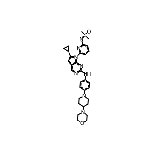 CS(C)(=O)=Nc1cccc(-n2c(C3CC3)cc3cnc(Nc4ccc(N5CCC(N6CCOCC6)CC5)cc4)nc32)n1